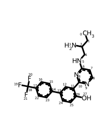 CCC(N)CNc1ccnc(-c2cc(-c3ccc(C(F)(F)F)cc3)ccc2O)n1